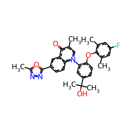 Cc1nnc(-c2ccc3c(c2)c(=O)c(C)cn3-c2cc(C(C)(C)O)ccc2Oc2c(C)cc(F)cc2C)o1